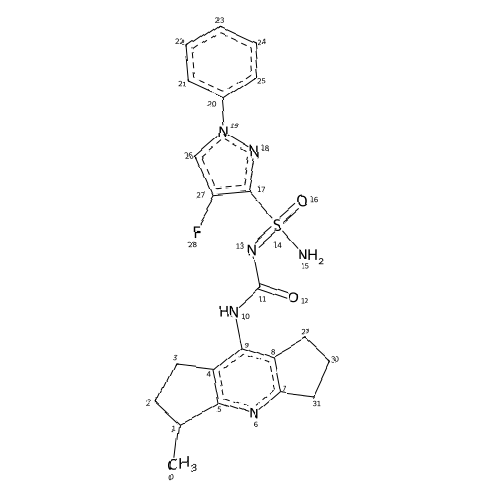 CC1CCc2c1nc1c(c2NC(=O)N=S(N)(=O)c2nn(-c3ccccc3)cc2F)CCC1